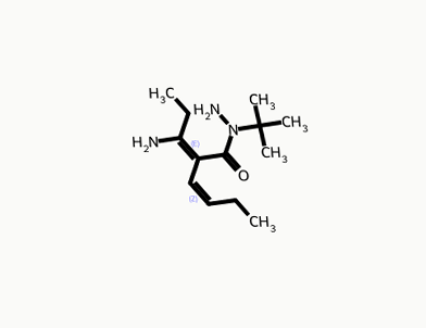 CC/C=C\C(C(=O)N(N)C(C)(C)C)=C(/N)CC